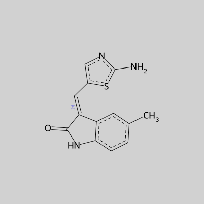 Cc1ccc2c(c1)/C(=C\c1cnc(N)s1)C(=O)N2